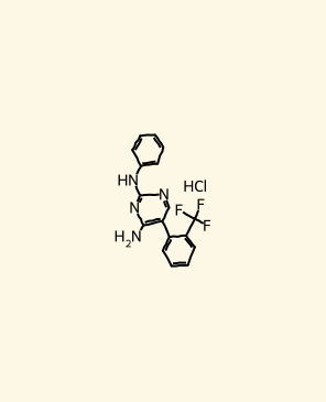 Cl.Nc1nc(Nc2ccccc2)ncc1-c1ccccc1C(F)(F)F